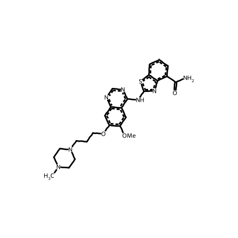 COc1cc2c(Nc3nc4c(C(N)=O)c[c]cc4s3)ncnc2cc1OCCCN1CCN(C)CC1